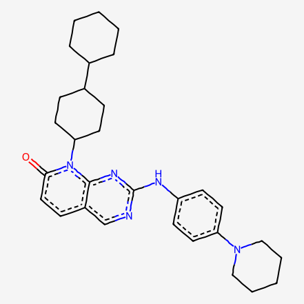 O=c1ccc2cnc(Nc3ccc(N4CCCCC4)cc3)nc2n1C1CCC(C2CCCCC2)CC1